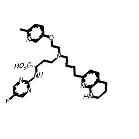 Cc1ccc(OCCN(CCCCc2ccc3c(n2)NCCC3)CC[C@H](Nc2ncc(F)cn2)C(=O)O)cn1